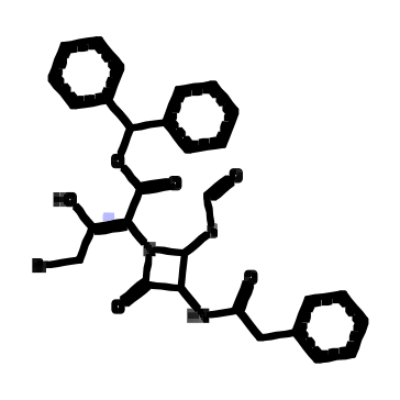 O=CSC1C(NC(=O)Cc2ccccc2)C(=O)N1/C(C(=O)OC(c1ccccc1)c1ccccc1)=C(/O)CBr